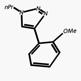 CCCn1cc(-c2ccccc2OC)nn1